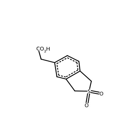 O=C(O)Cc1ccc2c(c1)CS(=O)(=O)C2